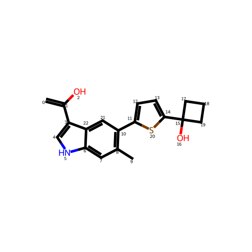 C=C(O)c1c[nH]c2cc(C)c(-c3ccc(C4(O)CCC4)s3)cc12